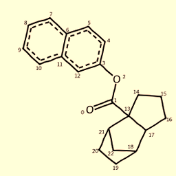 O=C(Oc1ccc2ccccc2c1)C12CCCC1C1CCC2C1